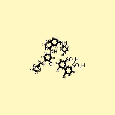 C[C@@H]1COC(Nc2ccc3ncnc(Nc4ccc(OCc5nccs5)c(Cl)c4)c3c2)=N1.Cc1ccc(S(=O)(=O)O)cc1.Cc1ccc(S(=O)(=O)O)cc1